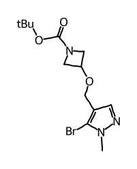 Cn1ncc(COC2CN(C(=O)OC(C)(C)C)C2)c1Br